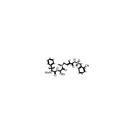 CN[C@H](C(=O)NC(C(=O)N(C)C/C=C(\C)C(=O)NS(=O)(=O)Cc1ccccc1C#N)C(C)(C)C)C(C)(C)c1ccccc1